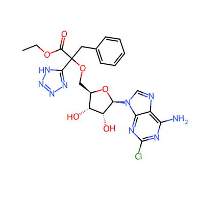 CCOC(=O)C(Cc1ccccc1)(OC[C@H]1O[C@@H](n2cnc3c(N)nc(Cl)nc32)[C@H](O)[C@@H]1O)c1nnn[nH]1